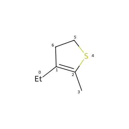 CCC1=C(C)SCC1